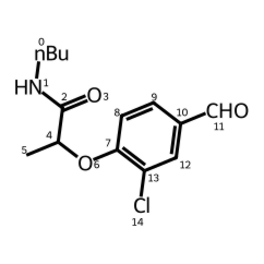 CCCCNC(=O)C(C)Oc1ccc(C=O)cc1Cl